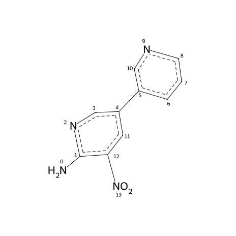 Nc1ncc(-c2cccnc2)cc1[N+](=O)[O-]